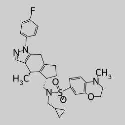 C[C@@H]1C2=C(CC[C@@H]2CN(CC2CC2)S(=O)(=O)c2ccc3c(c2)OCCN3C)Cc2c1cnn2-c1ccc(F)cc1